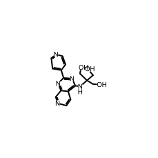 OCC(CO)(CO)Nc1nc(-c2ccncc2)nc2cnccc12